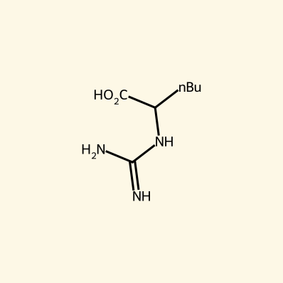 CCCCC(NC(=N)N)C(=O)O